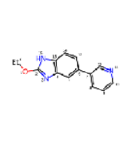 CCOc1nc2cc(-c3cccnc3)ccc2[nH]1